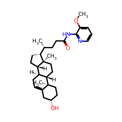 COc1cccnc1NC(=O)CC[C@@H](C)[C@H]1CC[C@H]2[C@@H]3CC=C4C[C@@H](O)CC[C@]4(C)[C@H]3CC[C@]12C